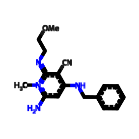 COCCN=c1c(C#N)c(NCc2ccccc2)cc(N)n1C